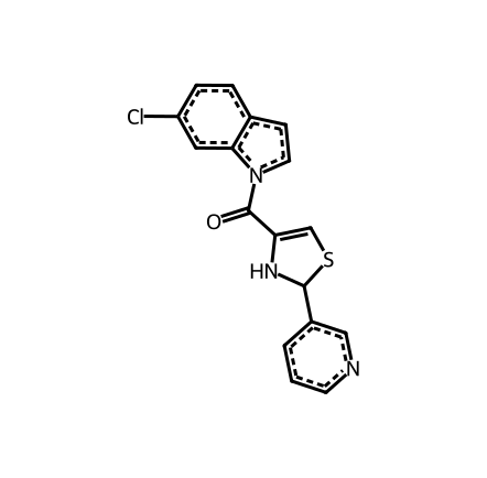 O=C(C1=CSC(c2cccnc2)N1)n1ccc2ccc(Cl)cc21